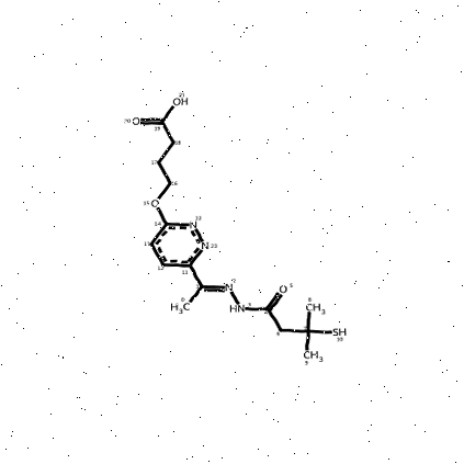 CC(=NNC(=O)CC(C)(C)S)c1ccc(OCCCC(=O)O)nn1